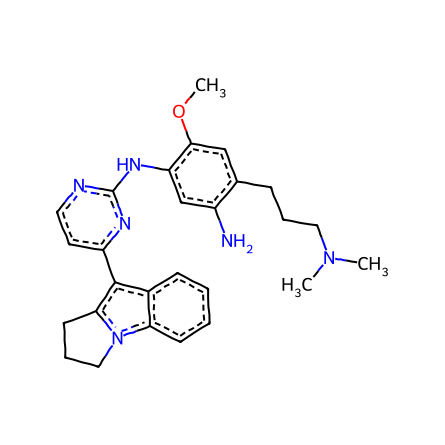 COc1cc(CCCN(C)C)c(N)cc1Nc1nccc(-c2c3n(c4ccccc24)CCC3)n1